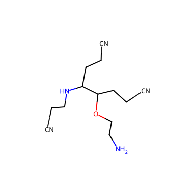 N#CCCNC(CCC#N)C(CCC#N)OCCN